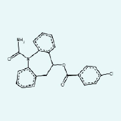 NC(=O)N1c2ccccc2CC(OC(=O)c2ccc(Cl)cc2)c2ccccc21